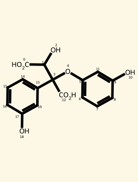 O=C(O)C(O)C(Oc1cccc(O)c1)(C(=O)O)c1cccc(O)c1